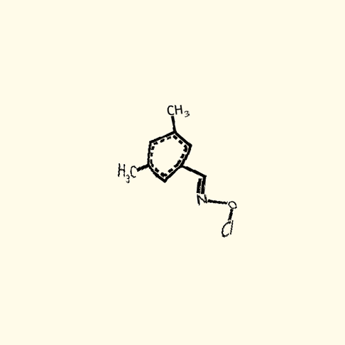 Cc1cc(C)cc(C=NOCl)c1